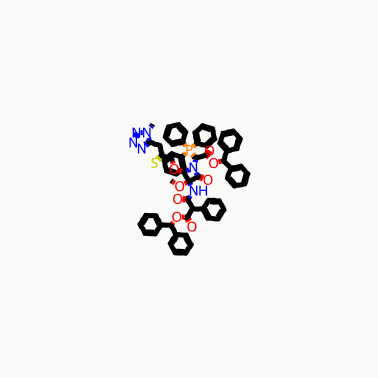 COC1(NC(=O)C(C(=O)OC(c2ccccc2)c2ccccc2)c2ccccc2)C(=O)N(C(C(=O)OC(c2ccccc2)c2ccccc2)=P(c2ccccc2)(c2ccccc2)c2ccccc2)C1OCC(=S)Cc1nnnn1C